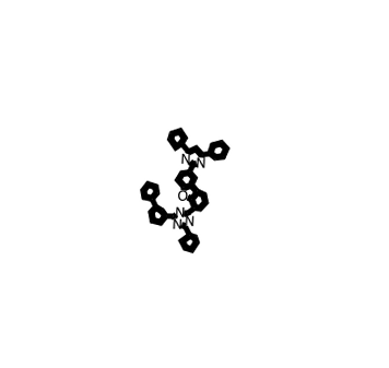 c1ccc(-c2cccc(-c3nc(-c4ccccc4)nc(-c4cccc5c4oc4ccc(-c6nc(-c7ccccc7)cc(-c7ccccc7)n6)cc45)n3)c2)cc1